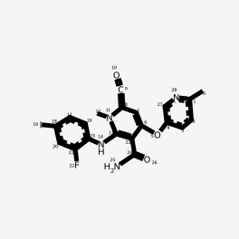 Cc1ccc(OC2=CC(=C=O)N(C)C(Nc3ccc(I)cc3F)=C2C(N)=O)cn1